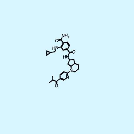 CC(C)C(=O)c1ccc(N2CCCC3CC(NC(=O)c4ccc(C(N)=O)c(NCC5CC5)c4)CC32)nc1